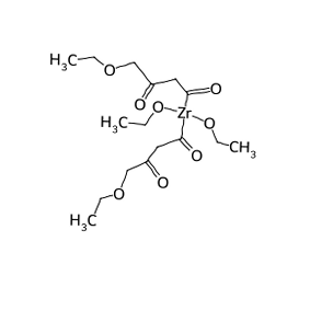 CCOCC(=O)C[C](=O)[Zr]([O]CC)([O]CC)[C](=O)CC(=O)COCC